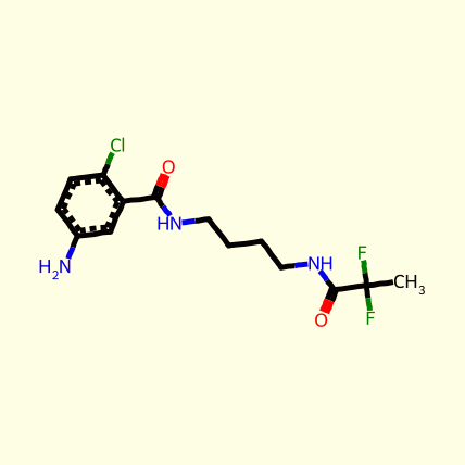 CC(F)(F)C(=O)NCCCCNC(=O)c1cc(N)ccc1Cl